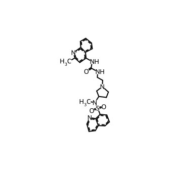 Cc1cc(NC(=O)NCCN2CCC(N(C)S(=O)(=O)c3cccc4cccnc34)C2)c2ccccc2n1